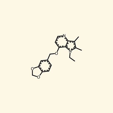 CCn1c(C)c(C)c2nccc(OCc3ccc4c(c3)OCO4)c21